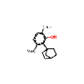 COc1ccc(C=O)c(O)c1C12CCC(CC1)C2